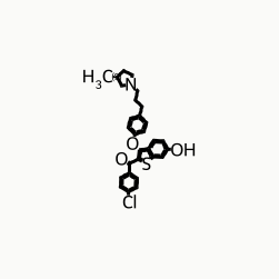 C[C@H]1CCN(CCCc2ccc(Oc3c(C(=O)c4ccc(Cl)cc4)sc4cc(O)ccc34)cc2)C1